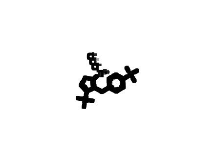 C[Si](C)(C)C1=CC[C]([Ti+3])=C1Cc1ccc([Si](C)(C)C)cc1.[Cl-].[Cl-].[Cl-]